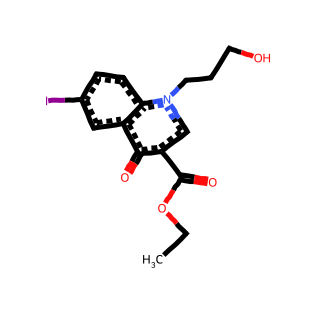 CCOC(=O)c1cn(CCCO)c2ccc(I)cc2c1=O